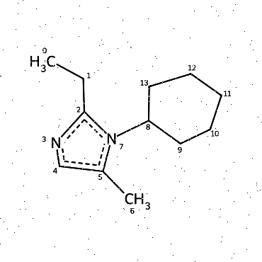 CCc1ncc(C)n1C1CCCCC1